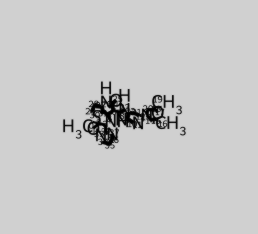 COCC(Nc1c(-c2nc3cnc(N4C[C@@H](C)O[C@@H](C)C4)cc3[nH]2)c(=O)[nH]c2ccsc12)c1ncccn1